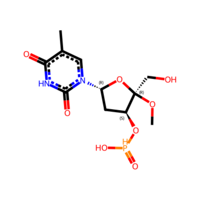 CO[C@]1(CO)O[C@@H](n2cc(C)c(=O)[nH]c2=O)C[C@@H]1O[PH](=O)O